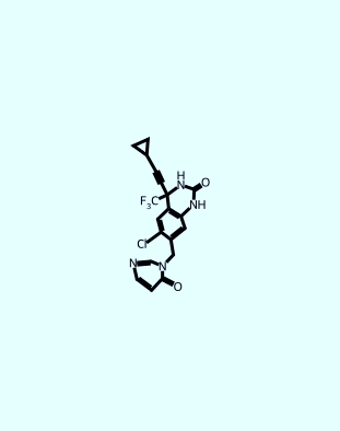 O=C1Nc2cc(Cn3cnccc3=O)c(Cl)cc2C(C#CC2CC2)(C(F)(F)F)N1